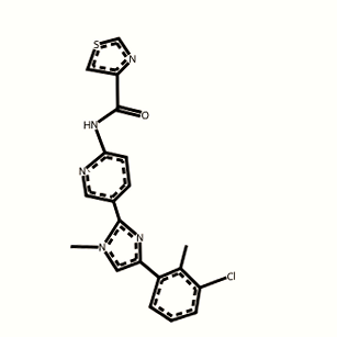 Cc1c(Cl)cccc1-c1cn(C)c(-c2ccc(NC(=O)c3cscn3)nc2)n1